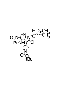 CC(C)Nc1c([N+](=O)[O-])cnc2c1c(C1=CCN(C(=O)OC(C)(C)C)CC1)c(Cl)n2COCCS(C)(C)C